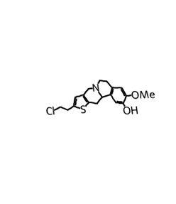 COc1cc2c(cc1O)C1Cc3sc(CCCl)cc3CN1CC2